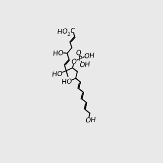 CC(O)(C=CC(O)CC=CC(=O)O)C(CC(O)C=CC=CC=CCO)OP(=O)(O)O